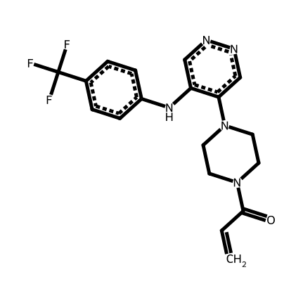 C=CC(=O)N1CCN(c2cnncc2Nc2ccc(C(F)(F)F)cc2)CC1